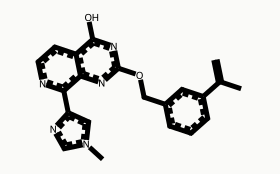 C=C(C)c1cccc(COc2nc(O)c3ccnc(-c4cn(C)cn4)c3n2)c1